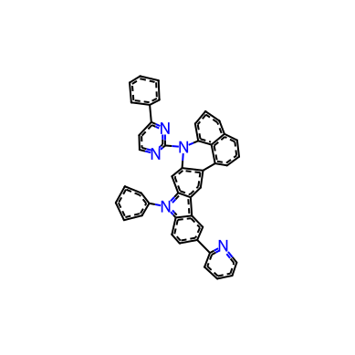 c1ccc(-c2ccnc(N3c4cc5c(cc4-c4cccc6cccc3c46)c3cc(-c4ccccn4)ccc3n5-c3ccccc3)n2)cc1